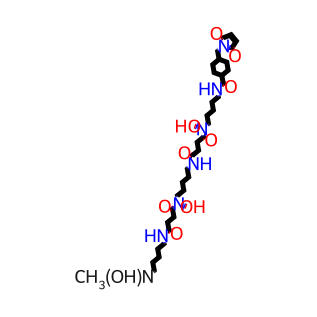 CN(O)CCCCCNC(=O)CCC(=O)N(O)CCCCCNC(=O)CCC(=O)N(O)CCCCCNC(=O)C1CCC(CN2C(=O)C=CC2=O)CC1